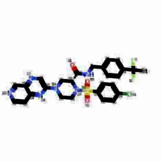 CCC(F)(F)c1ccc(CNC(=O)[C@H]2CN(c3cnc4cnccc4n3)CCN2S(=O)(=O)c2ccc(Cl)cc2)cc1